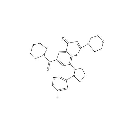 O=C(c1cc(C2CCCN2c2cccc(F)c2)c2oc(N3CCOCC3)cc(=O)c2c1)N1CCOCC1